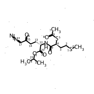 CSCC[C@H](SC(C)=O)C(=O)N[C@@H](CCC(=O)C=[N+]=[N-])C(=O)OC(C)C